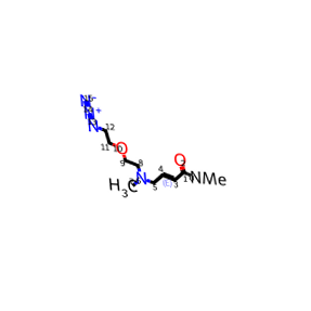 CNC(=O)/C=C/CN(C)CCOCCN=[N+]=[N-]